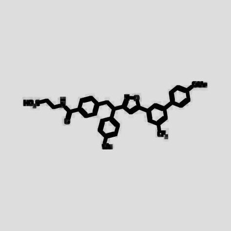 COc1ccc(-c2cc(-c3cc(C(Cc4ccc(C(=O)NCCS(=O)(=O)O)cc4)c4ccc(C(C)(C)C)cc4)no3)cc(C(F)(F)F)c2)cc1